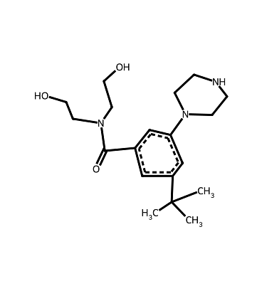 CC(C)(C)c1cc(C(=O)N(CCO)CCO)cc(N2CCNCC2)c1